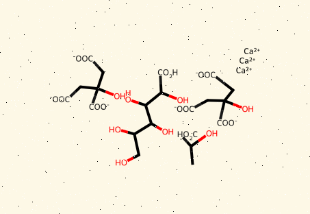 CC(O)C(=O)O.O=C(O)C(O)C(O)C(O)C(O)CO.O=C([O-])CC(O)(CC(=O)[O-])C(=O)[O-].O=C([O-])CC(O)(CC(=O)[O-])C(=O)[O-].[Ca+2].[Ca+2].[Ca+2]